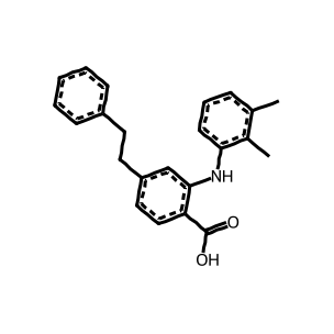 Cc1cccc(Nc2cc(CCc3ccccc3)ccc2C(=O)O)c1C